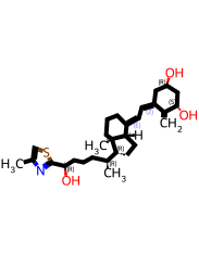 C=C1/C(=C\C=C2/CCC[C@]3(C)[C@@H]([C@H](C)CCC[C@@H](O)c4nc(C)cs4)CC[C@@H]23)C[C@@H](O)C[C@@H]1O